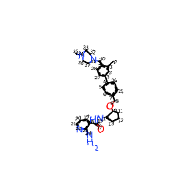 Cc1cc(-c2ccc(CO[C@H]3CCC[C@@H]3NC(=O)c3cccnc3N)cc2)ccc1CN1CCN(C)CC1